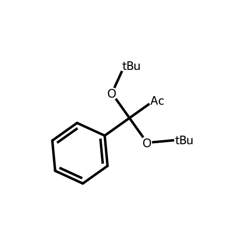 CC(=O)C(OC(C)(C)C)(OC(C)(C)C)c1ccccc1